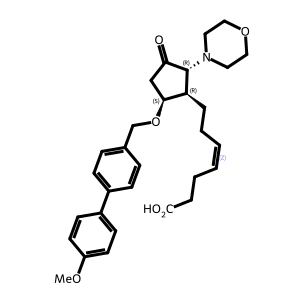 COc1ccc(-c2ccc(CO[C@H]3CC(=O)[C@H](N4CCOCC4)[C@H]3CC/C=C\CCC(=O)O)cc2)cc1